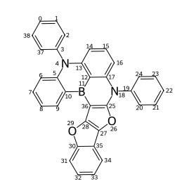 c1ccc(N2c3ccccc3B3c4c2cccc4N(c2ccccc2)c2oc4c(oc5ccccc54)c23)cc1